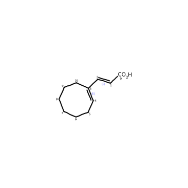 O=C(O)/C=C/C1=C/CCCCCC1